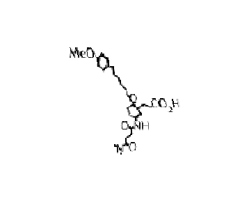 COc1ccc(/C=C/CCCCOc2ccc(NC(=O)CCC(=O)N(C)C)cc2CCC(=O)O)cc1